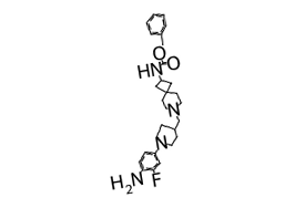 Nc1ccc(N2CCC(CN3CCC4(CC3)CC(NC(=O)OCc3ccccc3)C4)CC2)cc1F